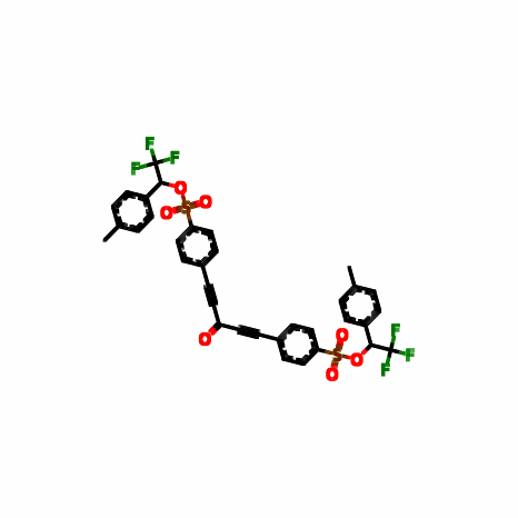 Cc1ccc(C(OS(=O)(=O)c2ccc(C#CC(=O)C#Cc3ccc(S(=O)(=O)OC(c4ccc(C)cc4)C(F)(F)F)cc3)cc2)C(F)(F)F)cc1